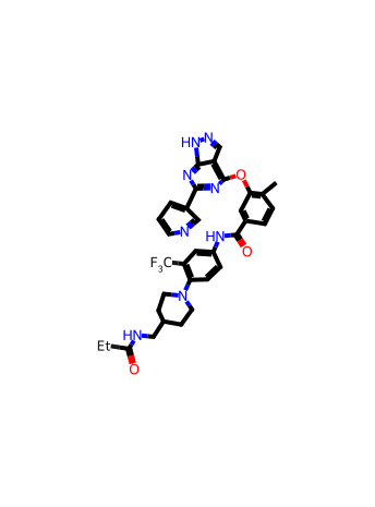 CCC(=O)NCC1CCN(c2ccc(NC(=O)c3ccc(C)c(Oc4nc(-c5cccnc5)nc5[nH]ncc45)c3)cc2C(F)(F)F)CC1